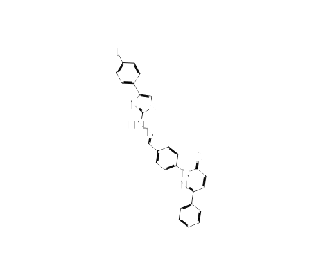 O=c1ccc(-c2ccccc2)nn1-c1ccc(C=NNc2nc(-c3ccc(I)cc3)cs2)cc1